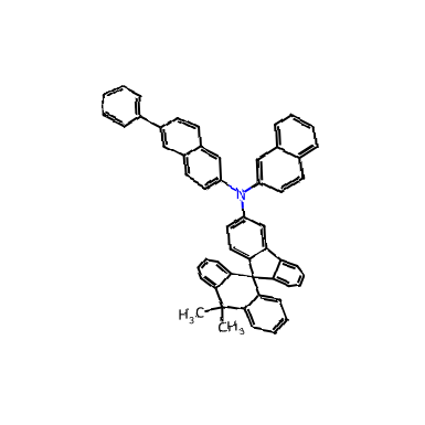 CC1(C)c2ccccc2C2(c3ccccc3-c3cc(N(c4ccc5ccccc5c4)c4ccc5cc(-c6ccccc6)ccc5c4)ccc32)c2ccccc21